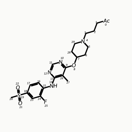 CC(=O)CCCN1CCC(Oc2ncnc(Nc3ccc(S(C)(=O)=O)cc3F)c2C)CC1